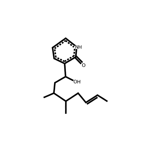 CC=CCC(C)C(C)CC(O)c1ccc[nH]c1=O